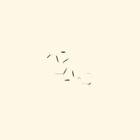 Cl.NC[C@H](CC(=O)O)c1ccc(Cl)c(-c2cccc(C(=O)O)c2)c1